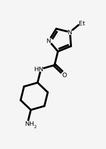 CCn1cnc(C(=O)NC2CCC(N)CC2)c1